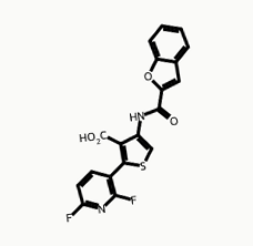 O=C(Nc1csc(-c2ccc(F)nc2F)c1C(=O)O)c1cc2ccccc2o1